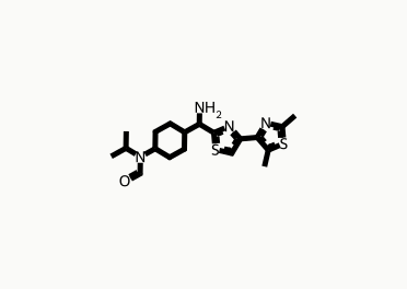 Cc1nc(-c2csc(C(N)C3CCC(N(C=O)C(C)C)CC3)n2)c(C)s1